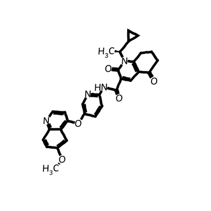 COc1ccc2nccc(Oc3ccc(NC(=O)c4cc5c(n([C@@H](C)C6CC6)c4=O)CCCC5=O)nc3)c2c1